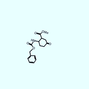 COC(=O)C1CC(=O)CCC1NC(=O)OCc1ccccc1